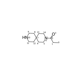 CCC(=O)N1CCC2(CCNCC2)CC1